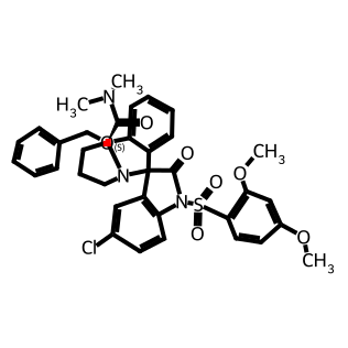 COc1ccc(S(=O)(=O)N2C(=O)C(c3ccccc3OCc3ccccc3)(N3CCC[C@H]3C(=O)N(C)C)c3cc(Cl)ccc32)c(OC)c1